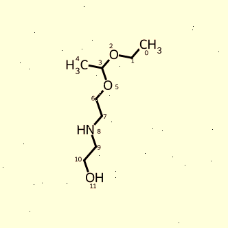 CCOC(C)OCCNCCO